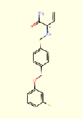 C=C[C@@H](NCc1ccc(COc2cccc(F)c2)cc1)C(N)=O